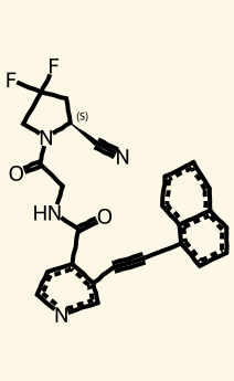 N#C[C@@H]1CC(F)(F)CN1C(=O)CNC(=O)c1ccncc1C#Cc1cccc2ccccc12